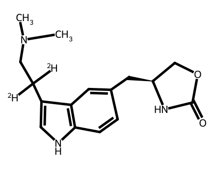 [2H]C([2H])(CN(C)C)c1c[nH]c2ccc(C[C@H]3COC(=O)N3)cc12